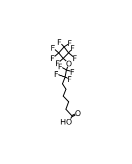 O=C(O)CCCCCC(F)(F)C(F)(F)OC1(F)C(F)(F)C(F)(F)C1(F)F